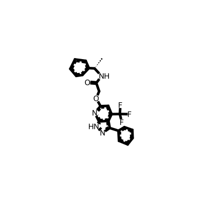 C[C@H](NC(=O)COc1cc(C(F)(F)F)c2c(-c3ccccc3)n[nH]c2n1)c1ccccc1